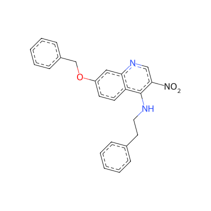 O=[N+]([O-])c1cnc2cc(OCc3ccccc3)ccc2c1NCCc1ccccc1